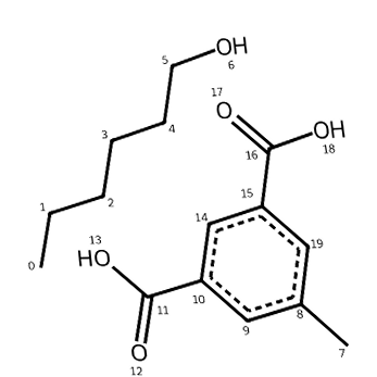 CCCCCCO.Cc1cc(C(=O)O)cc(C(=O)O)c1